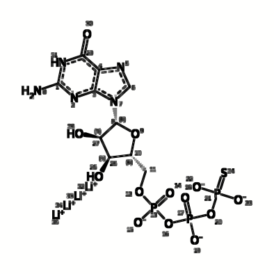 Nc1nc2c(ncn2[C@@H]2O[C@H](COP(=O)([O-])OP(=O)([O-])OP([O-])([O-])=S)[C@@H](O)[C@H]2O)c(=O)[nH]1.[Li+].[Li+].[Li+].[Li+]